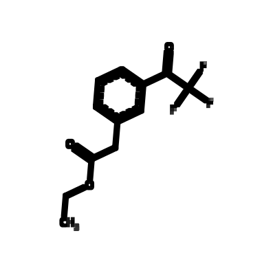 CCOC(=O)Cc1cccc(C(=O)C(F)(F)F)c1